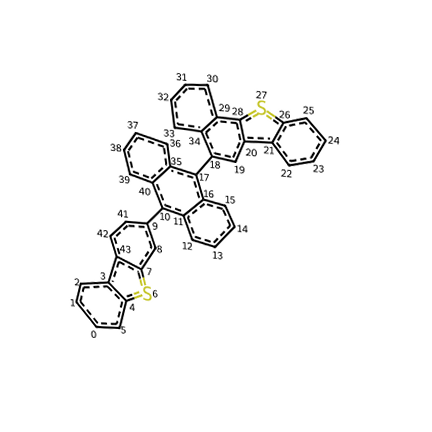 c1ccc2c(c1)sc1cc(-c3c4ccccc4c(-c4cc5c6ccccc6sc5c5ccccc45)c4ccccc34)ccc12